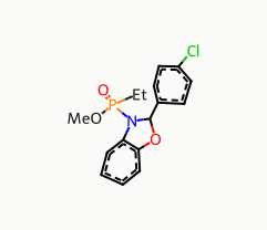 CCP(=O)(OC)N1c2ccccc2OC1c1ccc(Cl)cc1